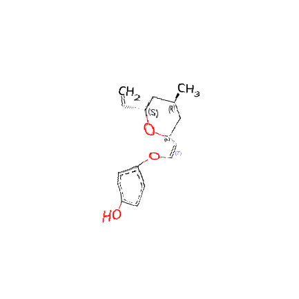 C=C[C@@H]1C[C@@H](C)C[C@H](/C=C\Oc2ccc(O)cc2)O1